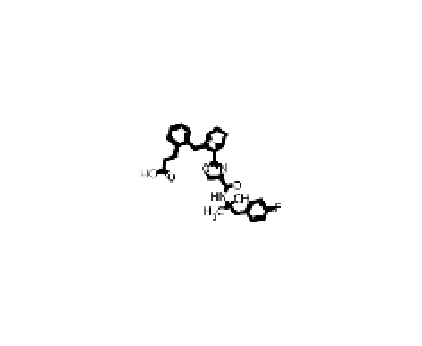 CC(C)(Cc1ccc(F)cc1)NC(=O)c1coc(C2C3CCC(O3)C2Cc2ccccc2CCC(=O)O)n1